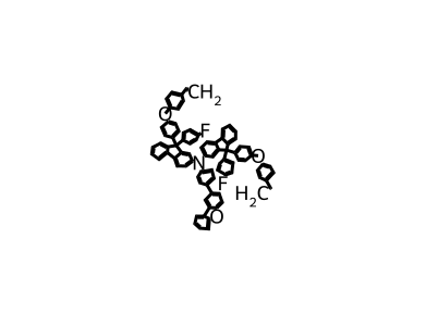 C=Cc1ccc(Oc2ccc(C3(c4ccc(F)cc4)c4ccccc4-c4ccc(N(c5ccc(-c6ccc7oc8ccccc8c7c6)cc5)c5ccc6c(c5)C(c5ccc(F)cc5)(c5ccc(Oc7ccc(C=C)cc7)cc5)c5ccccc5-6)cc43)cc2)cc1